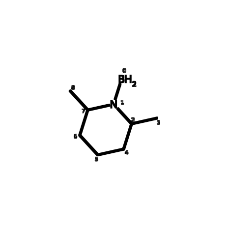 BN1C(C)CCCC1C